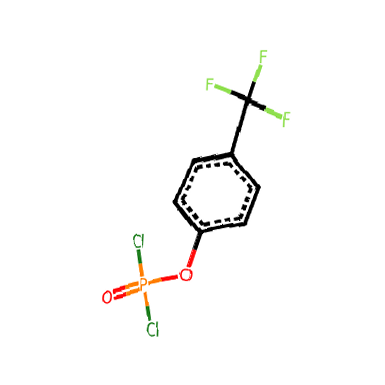 O=P(Cl)(Cl)Oc1ccc(C(F)(F)F)cc1